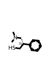 CN(C)C[C@@H](CS)c1ccccc1